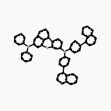 c1ccc(N(c2ccccc2)c2cc3c4c(cccc4c2)-c2ccc(N(c4ccc(-c5cccc6ccccc56)cc4)c4ccc(-c5cccc6ccccc56)cc4)cc2O3)cc1